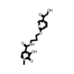 Cn1ccc(C(=O)NCCCOc2ccc(C(=O)CO)cc2)c(O)c1=O